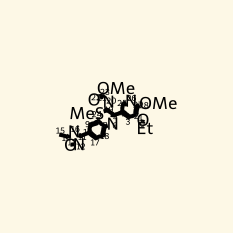 CCOc1cc(C(=Nc2ccc(-c3noc(C)n3)cc2)C(=NC(=O)OC)SC)cnc1OC